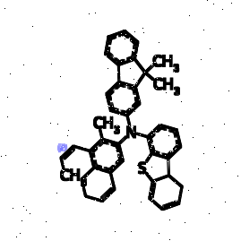 C/C=C\c1c(C)c(N(c2ccc3c(c2)C(C)(C)c2ccccc2-3)c2cccc3c2SC2=CC=CCC23)cc2c1CCC=C2